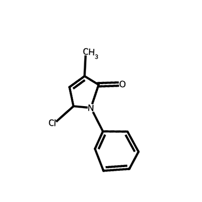 CC1=CC(Cl)N(c2ccccc2)C1=O